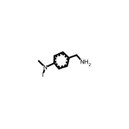 CN(I)c1ccc(CN)cc1